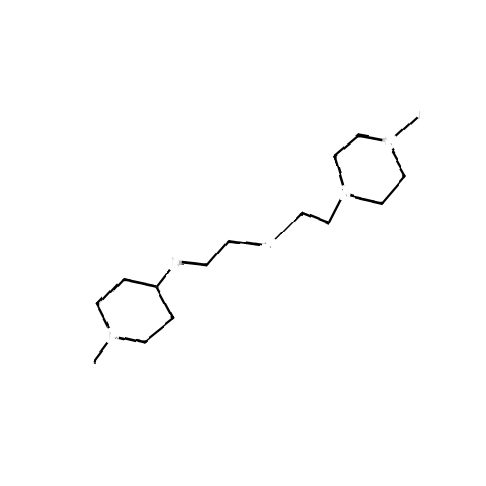 CN1CCC(NCCNCCN2CCN(I)CC2)CC1